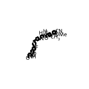 COc1cc(N2C[C@@H](C)N(C(=O)Nc3ccc(N4CCC(CN5CCN(c6cc7c(cc6F)C(=O)N([C@H]6CCC(=O)NC6=O)C7)CC5)CC4)nc3)C[C@@H]2C)ccc1C#N